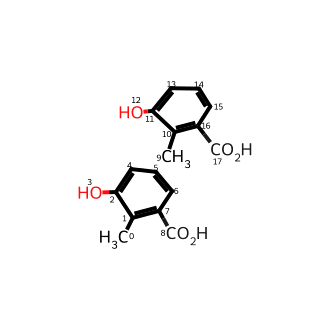 Cc1c(O)cccc1C(=O)O.Cc1c(O)cccc1C(=O)O